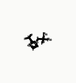 CC(C)c1nccn1CC(F)(F)F